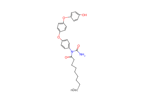 CCCCCCCCCCCCCCCCCC(=O)N(C(N)=O)c1ccc(Oc2ccc(Oc3ccc(O)cc3)cc2)cc1